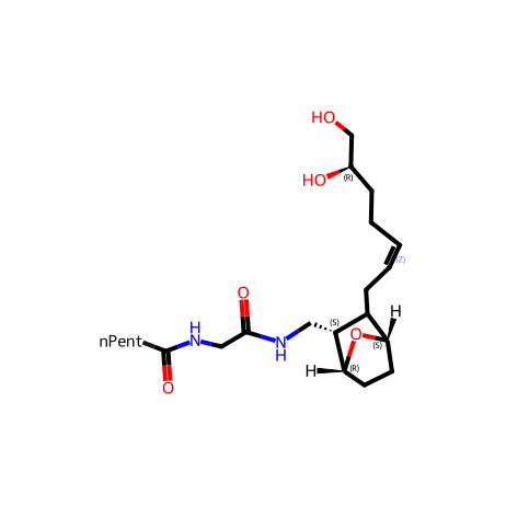 CCCCCC(=O)NCC(=O)NC[C@@H]1C(C/C=C\CC[C@@H](O)CO)[C@@H]2CC[C@H]1O2